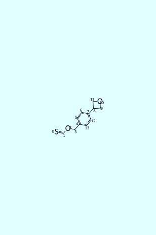 S=COCc1ccc(C2COC2)cc1